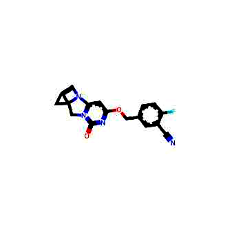 N#Cc1cc(COc2cc3n(c(=O)n2)CC24CC2=CN34)ccc1F